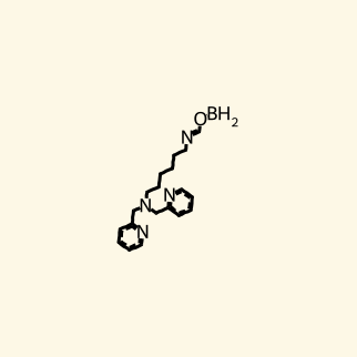 BOC=NCCCCCCN(Cc1ccccn1)Cc1ccccn1